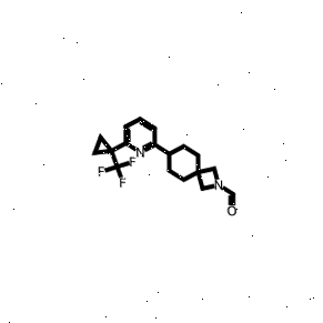 O=CN1CC2(CCC(c3cccc(C4(C(F)(F)F)CC4)n3)CC2)C1